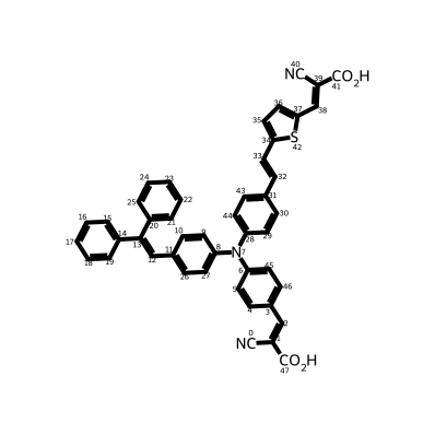 N#C/C(=C\c1ccc(N(c2ccc(C=C(c3ccccc3)c3ccccc3)cc2)c2ccc(/C=C/c3ccc(/C=C(\C#N)C(=O)O)s3)cc2)cc1)C(=O)O